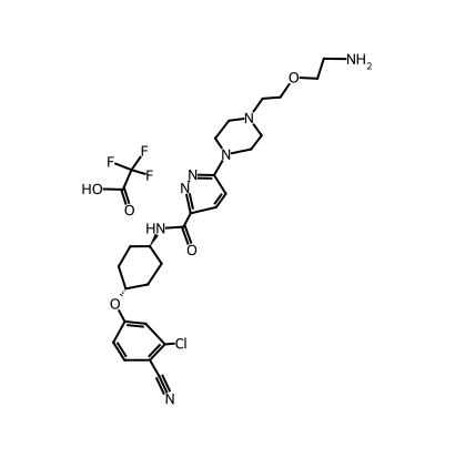 N#Cc1ccc(O[C@H]2CC[C@H](NC(=O)c3ccc(N4CCN(CCOCCN)CC4)nn3)CC2)cc1Cl.O=C(O)C(F)(F)F